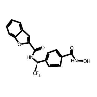 O=C(NO)c1ccc([C@H](NC(=O)c2cc3ccccc3o2)C(F)(F)F)cc1